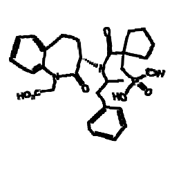 CC(Cc1ccccc1)N(C(=O)C1(CP(=O)(O)O)CCCC1)[C@H]1CCc2ccccc2N(CC(=O)O)C1=O